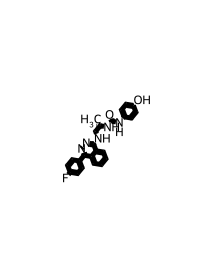 C[C@@H](CNc1nnc(-c2ccc(F)cc2)c2ccccc12)NC(=O)Nc1ccc(O)cc1